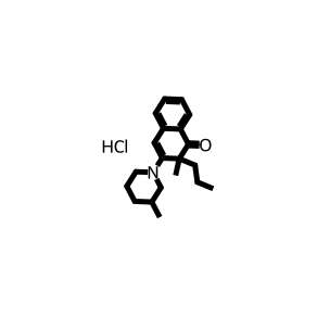 CCCC1(C)C(=O)c2ccccc2C=C1N1CCCC(C)C1.Cl